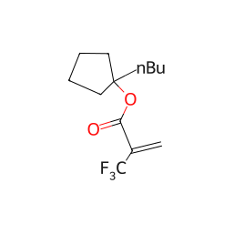 C=C(C(=O)OC1(CCCC)CCCC1)C(F)(F)F